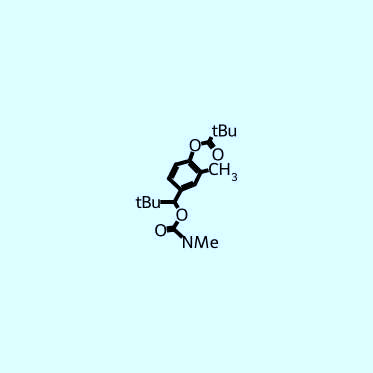 CNC(=O)OC(c1ccc(OC(=O)C(C)(C)C)c(C)c1)C(C)(C)C